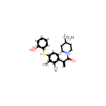 C=C(C(=O)N1CCC(C(=O)O)CC1)c1ccc(Sc2ccccc2O)c(Cl)c1Cl